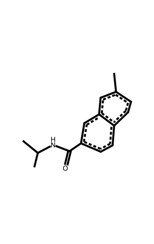 Cc1ccc2ccc(C(=O)NC(C)C)cc2c1